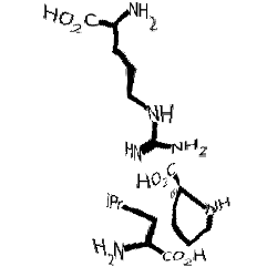 CC(C)CC(N)C(=O)O.N=C(N)NCCCC(N)C(=O)O.O=C(O)[C@@H]1CCCN1